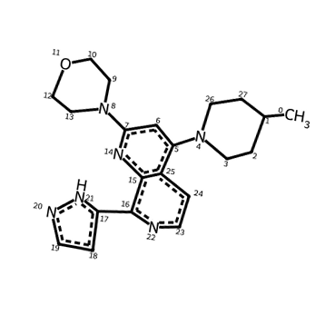 CC1CCN(c2cc(N3CCOCC3)nc3c(-c4ccn[nH]4)nccc23)CC1